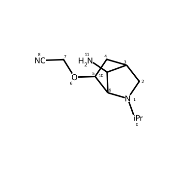 CC(C)N1CC2CC(OCC#N)C1C2N